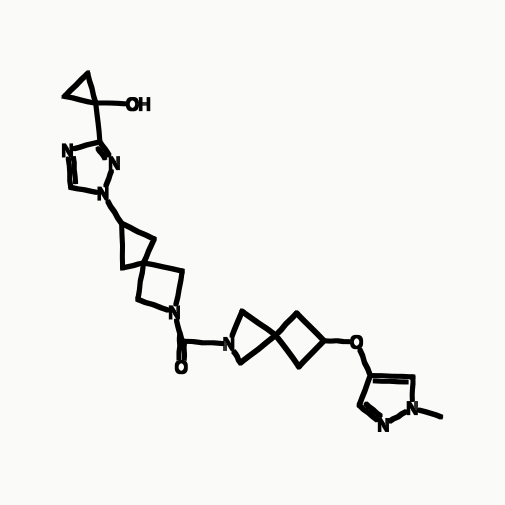 Cn1cc(OC2CC3(C2)CN(C(=O)N2CC4(CC(n5cnc(C6(O)CC6)n5)C4)C2)C3)cn1